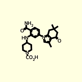 Cc1cn(-c2ccc(C(N)=O)c(NC3CCN(C(=O)O)CC3)c2)c2c1C(=O)CC(C)(C)C2